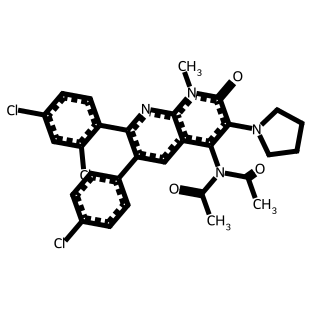 CC(=O)N(C(C)=O)c1c(N2CCCC2)c(=O)n(C)c2nc(-c3ccc(Cl)cc3Cl)c(-c3ccc(Cl)cc3)cc12